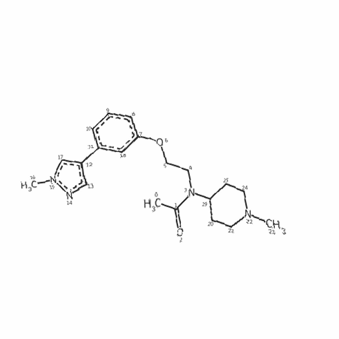 CC(=O)N(CCOc1c[c]cc(-c2cnn(C)c2)c1)C1CCN(C)CC1